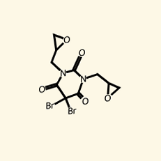 O=C1N(CC2CO2)C(=O)C(Br)(Br)C(=O)N1CC1CO1